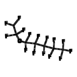 FC(F)C(F)(F)OC(F)(F)C(F)(F)C(F)(F)C(F)(F)C(F)(F)F